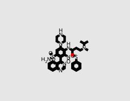 CC(C)N(C)CCC(CSc1ccccc1)Nc1c(N2CCNCC2)cc(S(N)(=O)=O)c(-c2ncnc3ccccc23)c1[N+](=O)[O-]